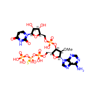 CO[C@@H]1[C@H](OP(=O)(O)OC[C@H]2O[C@@H](n3ccc(=O)[nH]c3=O)[C@H](O)[C@@H]2O)[C@@H](COP(=O)(O)OP(O)(=S)OP(=O)(O)O)O[C@H]1n1cnc2c(N)ncnc21